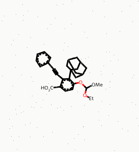 CCOC(OC)Oc1ccc(C(=O)O)c(C#Cc2ccccc2)c1C12CC3CC(CC(C3)C1)C2